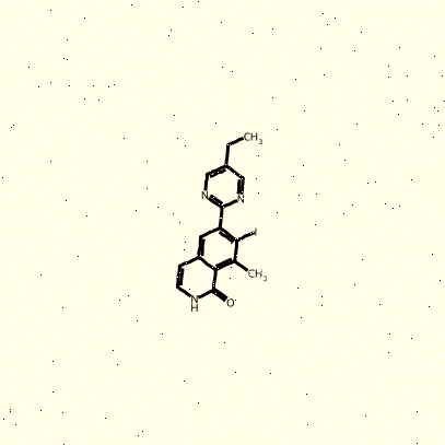 CCc1cnc(-c2cc3cc[nH]c(=O)c3c(C)c2I)nc1